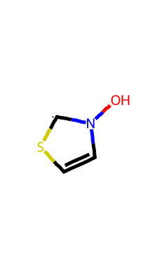 ON1[CH]SC=C1